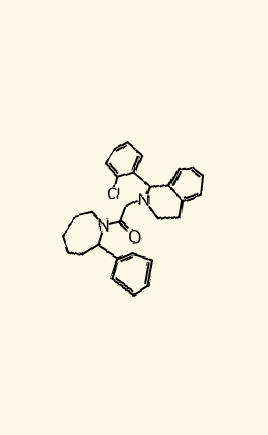 O=C(CN1CCc2ccccc2C1c1ccccc1Cl)N1CCCCCC1c1ccccc1